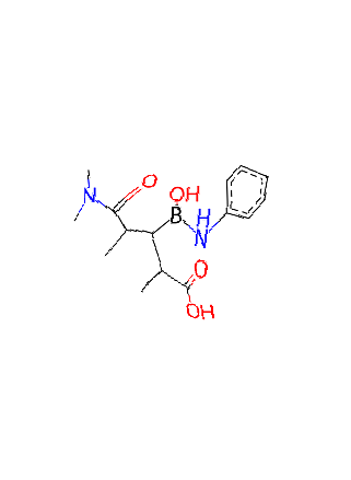 CC(C(=O)O)C(B(O)Nc1ccccc1)C(C)C(=O)N(C)C